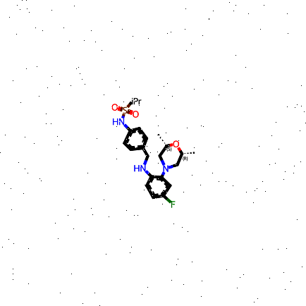 CC(C)S(=O)(=O)Nc1ccc(CNc2ccc(F)cc2N2C[C@@H](C)O[C@@H](C)C2)cc1